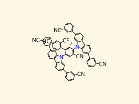 N#Cc1cccc(-c2ccc3c4ccc(-c5cccc(C#N)c5)cc4n(-c4cc(-c5ccc(C#N)cc5C(F)(F)F)c(-n5c6cc(-c7cccc(C#N)c7)ccc6c6ccc(-c7cccc(C#N)c7)cc65)cc4C#N)c3c2)c1